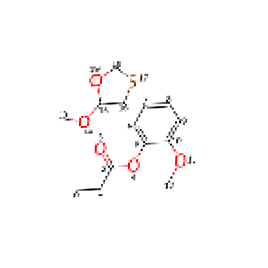 CCC(=O)Oc1ccccc1OC.COC1CSCO1